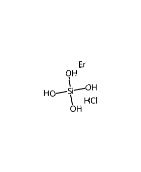 Cl.O[Si](O)(O)O.[Er]